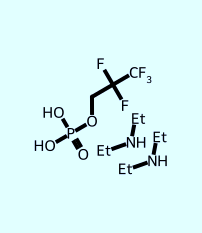 CCNCC.CCNCC.O=P(O)(O)OCC(F)(F)C(F)(F)F